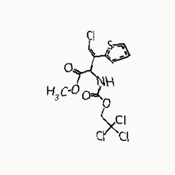 COC(=O)C(NC(=O)OCC(Cl)(Cl)Cl)/C(=C/Cl)c1cccs1